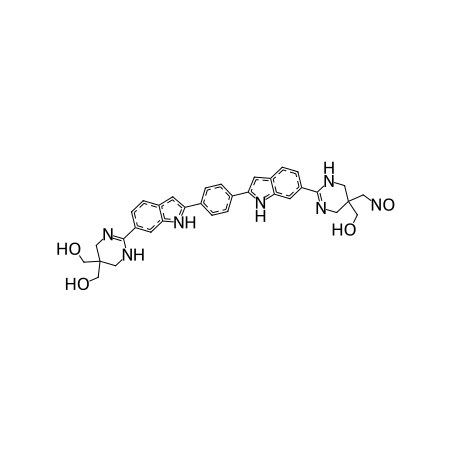 O=NCC1(CO)CN=C(c2ccc3cc(-c4ccc(-c5cc6ccc(C7=NCC(CO)(CO)CN7)cc6[nH]5)cc4)[nH]c3c2)NC1